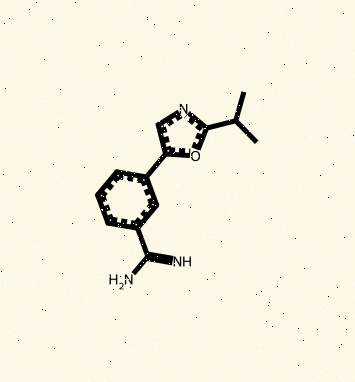 CC(C)c1ncc(-c2cccc(C(=N)N)c2)o1